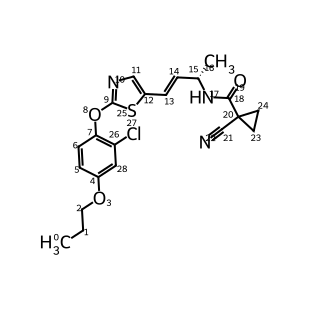 CCCOc1ccc(Oc2ncc(/C=C/[C@H](C)NC(=O)C3(C#N)CC3)s2)c(Cl)c1